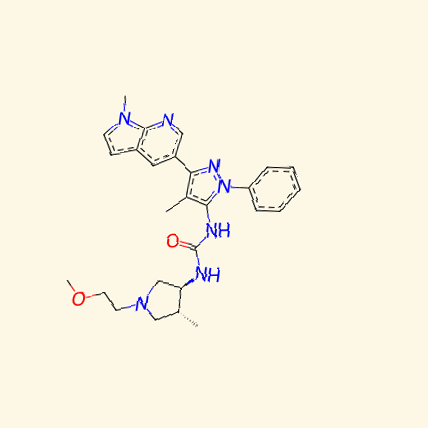 COCCN1C[C@@H](C)[C@H](NC(=O)Nc2c(C)c(-c3cnc4c(ccn4C)c3)nn2-c2ccccc2)C1